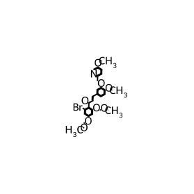 COCOc1cc(Br)c(C(=O)C=Cc2ccc(OC)c(OCc3ccc(OC)cn3)c2)c(OCOC)c1